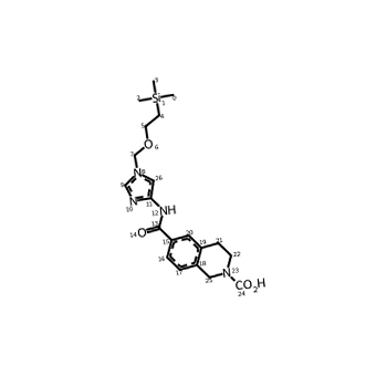 C[Si](C)(C)CCOCn1cnc(NC(=O)c2ccc3c(c2)CCN(C(=O)O)C3)c1